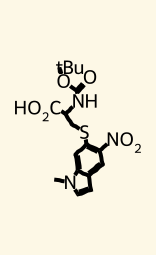 Cn1ccc2cc([N+](=O)[O-])c(SCC(NC(=O)OC(C)(C)C)C(=O)O)cc21